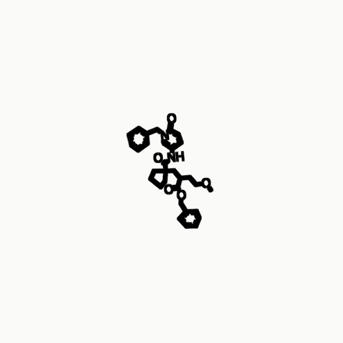 COCCC(CC1(C(=O)Nc2ccc(=O)n(Cc3ccccc3)c2)CCCC1)C(=O)OCc1ccccc1